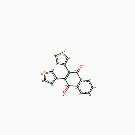 O=C1C(c2ccsc2)=C(c2ccsc2)C(=O)c2ccccc21